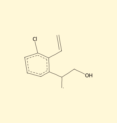 [CH2]C(CO)c1cccc(Cl)c1C=C